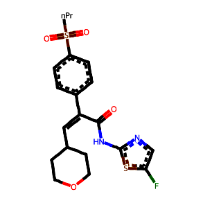 CCCS(=O)(=O)c1ccc(C(=CC2CCOCC2)C(=O)Nc2ncc(F)s2)cc1